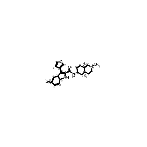 CN1CC[C@H]2C[C@H](NC(=O)C3=C(c4ccoc4)C4C=C(Cl)C=CC4N3)CC[C@@H]2C1